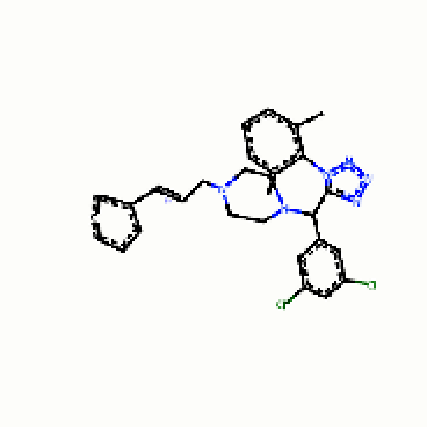 Cc1cccc(C)c1-n1nnnc1C(c1cc(Cl)cc(Cl)c1)N1CCN(C/C=C/c2ccccc2)CC1